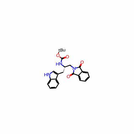 CC(C)(C)OC(=O)N[C@@H](Cc1c[nH]c2ccccc12)CN1C(=O)c2ccccc2C1=O